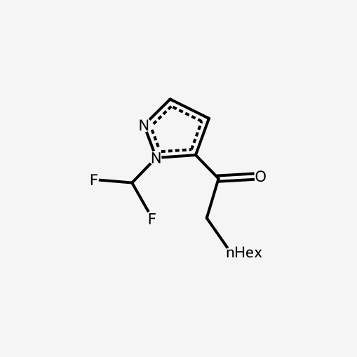 CCCCCCCC(=O)c1ccnn1C(F)F